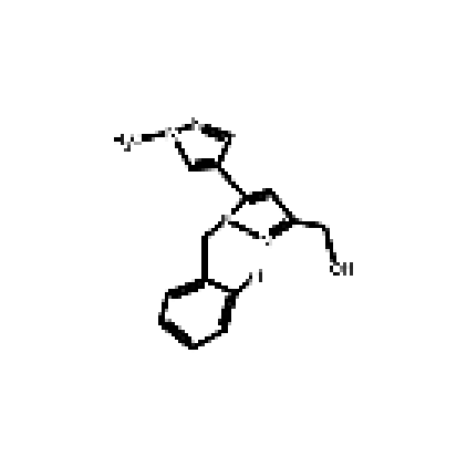 Cn1cc(-c2cc(CO)nn2Cc2ccccc2Cl)cn1